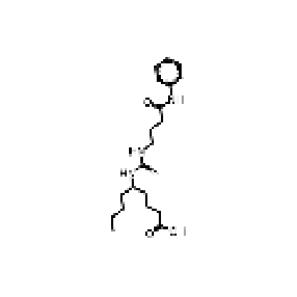 CCCCC(CCCC(=O)O)NC(=S)NCCCC(=O)Nc1ccccc1